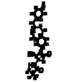 CCC1[C@@H](NC(=O)C(C)(F)F)CC(=O)N1c1ccc2c(c1)C=NC(Cc1ccc(F)cc1)CC2